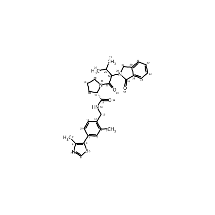 Cc1cc(-c2scnc2C)ccc1CNC(=O)[C@@H]1CCCN1C(=O)C(C(C)C)N1Cc2ccccc2C1=O